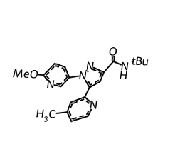 COc1ccc(-n2nc(C(=O)NC(C)(C)C)cc2-c2cc(C)ccn2)cn1